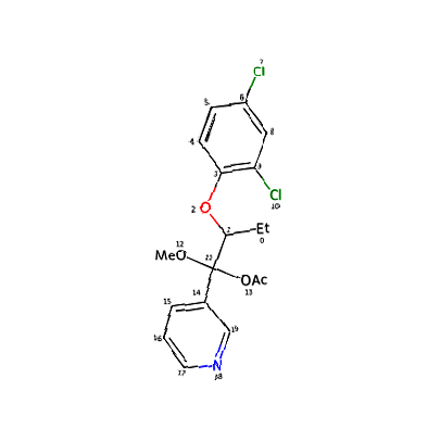 CCC(Oc1ccc(Cl)cc1Cl)C(OC)(OC(C)=O)c1cccnc1